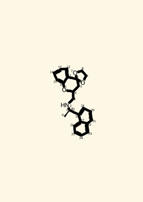 C[C@@H](NCC1CC2(OCCO2)c2ccccc2O1)c1cccc2ccccc12